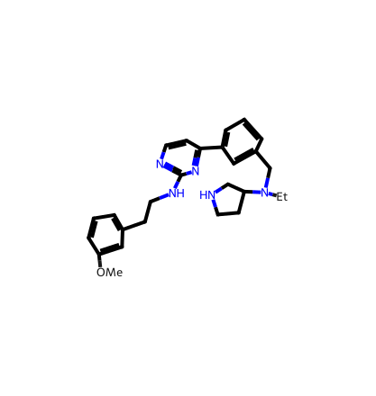 CCN(Cc1cccc(-c2ccnc(NCCc3cccc(OC)c3)n2)c1)C1CCNC1